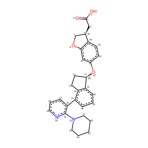 O=C(O)C[C@@H]1COc2cc(O[C@@H]3CCc4c(-c5cccnc5N5CCCCC5)cccc43)ccc21